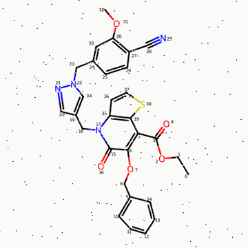 CCOC(=O)c1c(OCc2ccccc2)c(=O)n(Cc2cnn(Cc3ccc(C#N)c(OC)c3)c2)c2ccsc12